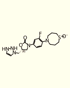 O=C1O[C@@H](CN2C=CNN2)CN1c1ccc(N2CCC[S+]([O-])CCC2)c(F)c1